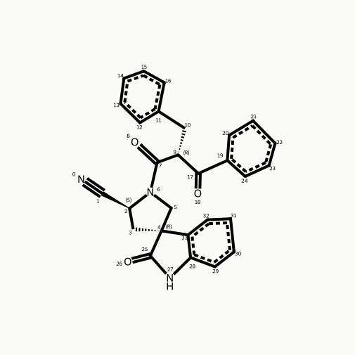 N#C[C@@H]1C[C@@]2(CN1C(=O)[C@H](Cc1ccccc1)C(=O)c1ccccc1)C(=O)Nc1ccccc12